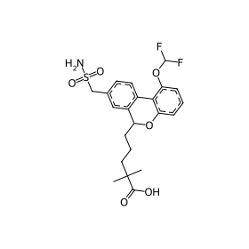 CC(C)(CCCC1Oc2cccc(OC(F)F)c2-c2ccc(CS(N)(=O)=O)cc21)C(=O)O